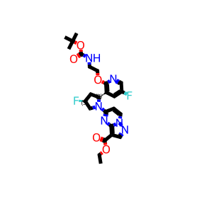 CCOC(=O)c1cnn2ccc(N3C[C@@H](F)C[C@@H]3c3cc(F)cnc3OCCNC(=O)OC(C)(C)C)nc12